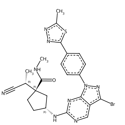 CNC(=O)[C@]1([C@@H](C)C#N)CC[C@@H](Nc2ncc3c(Br)nn(-c4ccc(-c5nnc(C)s5)cc4)c3n2)C1